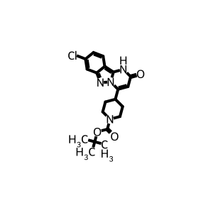 CC(C)(C)OC(=O)N1CCC(c2cc(=O)[nH]c3c4ccc(Cl)cc4nn23)CC1